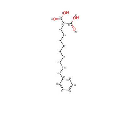 O=C(O)C(CCCCCCCCCc1ccccc1)C(=O)O